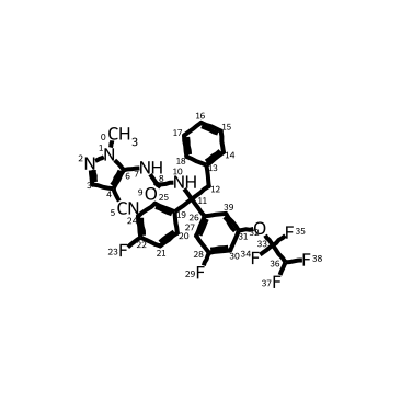 Cn1ncc(C#N)c1NC(=O)NC(Cc1ccccc1)(c1ccc(F)cc1)c1cc(F)cc(OC(F)(F)C(F)F)c1